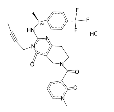 CC#CCn1c(N[C@@H](C)c2ccc(C(F)(F)F)cc2)nc2c(c1=O)CN(C(=O)c1cccn(C)c1=O)CC2.Cl